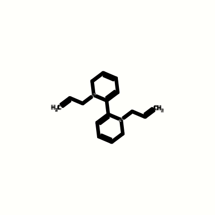 C=CCN1CC=CC=C1C1=CC=CCN1CC=C